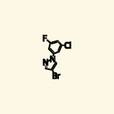 Fc1cc(Cl)cc(-n2cc(Br)cn2)c1